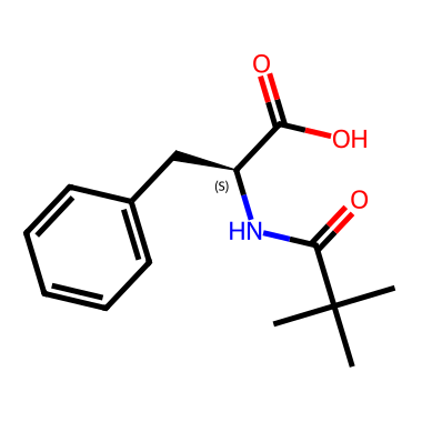 CC(C)(C)C(=O)N[C@@H](Cc1ccccc1)C(=O)O